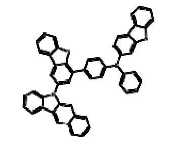 c1ccc(N(c2ccc(-c3cc(-n4c5ccccc5c5cc6ccccc6cc54)cc4c3sc3ccccc34)cc2)c2ccc3c(c2)sc2ccccc23)cc1